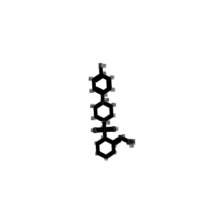 O=S(=O)(C1CCCCC1=NO)N1CCN(c2ccc(F)cc2)CC1